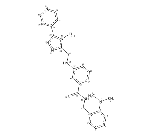 CN(C)c1ccccc1CNC(=O)c1cccc(NCc2nnc(-c3ccncn3)n2C)c1